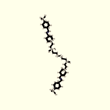 CN(CCSSCC[N+](C)(C)CC[n+]1ccc(/C=C/c2ccc(N(C)C)cc2)cc1)CC[n+]1ccc(/C=C/c2ccc(N(C)C)cc2)cc1